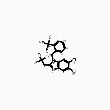 FC(F)(F)Cc1nc2cc(Cl)c(Cl)cc2n1Cc1ccccc1C(F)(F)F